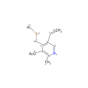 C=Cc1cnc(C)c(OC(C)=O)c1CSC(C)=O